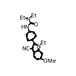 CCN(CC)C(=O)Nc1ccc(-c2c(C#N)c3ccc(OC)cc3n2CC)cc1